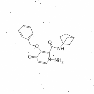 Nn1ccc(=O)c(OCc2ccccc2)c1C(=O)NC12CCC(C1)C2